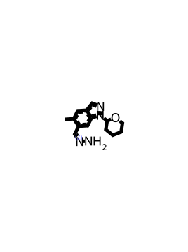 Cc1cc2cnn(C3CCCCO3)c2cc1/C=N\N